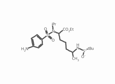 CCOC(=O)C(CCCC(C)N[S+]([O-])C(C)(C)C)N(C(C)C)S(=O)(=O)c1ccc(N)cc1